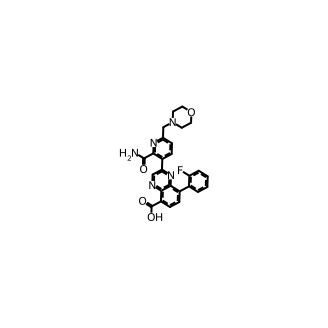 NC(=O)c1nc(CN2CCOCC2)ccc1-c1cnc2c(C(=O)O)ccc(-c3ccccc3F)c2n1